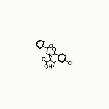 CC(C)C(C(=O)O)N(CC(=O)c1ccccc1)C(=O)c1ccc(Cl)cc1